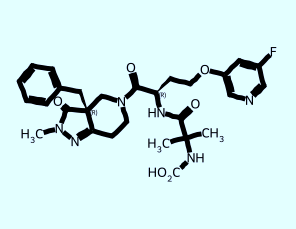 CN1N=C2CCN(C(=O)[C@@H](CCOc3cncc(F)c3)NC(=O)C(C)(C)NC(=O)O)C[C@@]2(Cc2ccccc2)C1=O